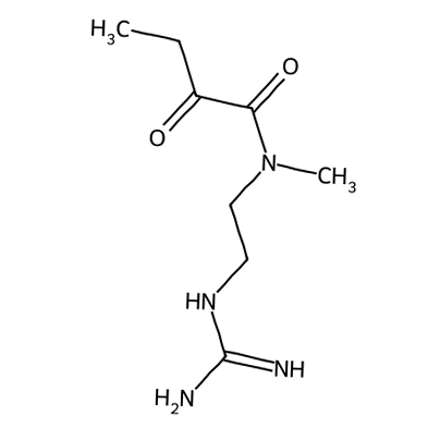 CCC(=O)C(=O)N(C)CCNC(=N)N